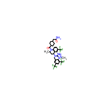 CC1CC(N(Cc2cc(C(F)(F)F)cc(C(F)(F)F)c2)c2nnn(C)n2)c2cc(C(F)(F)F)ccc2N1C(=O)C1CCC(CC(N)=O)CC1